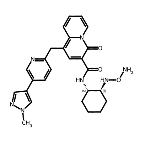 Cn1cc(-c2ccc(Cc3cc(C(=O)N[C@H]4CCCC[C@@H]4NON)c(=O)n4ccccc34)nc2)cn1